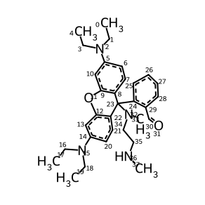 CCN(CC)c1ccc2c(c1)Oc1cc(N(CC)CC)ccc1C2(c1ccccc1C=O)N(C)CCNC